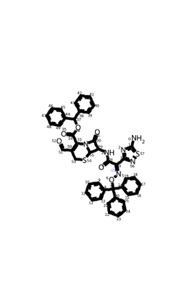 Nc1nc(/C(=N/OC(c2ccccc2)(c2ccccc2)c2ccccc2)C(=O)NC2C(=O)N3C(C(=O)OC(c4ccccc4)c4ccccc4)=C(C=O)CSC23)ns1